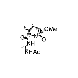 CON1C(=O)N2CC1C=C(C)[C@H]2C(=O)NCNC(C)=O